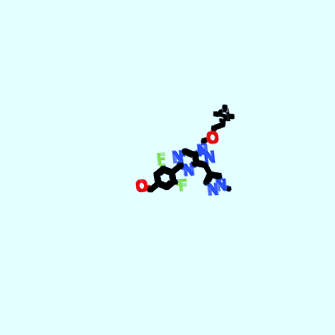 Cn1cc(-c2nn(COCC[Si](C)(C)C)c3cnc(-c4c(F)cc(C=O)cc4F)nc23)cn1